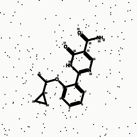 CC(Oc1ccccc1-c1ncc(C(N)=O)c(=O)[nH]1)C1CC1